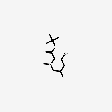 CC(CCO)CN(C)CC(=O)OC(C)(C)C